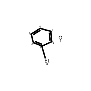 CCc1ccccc1.[O]